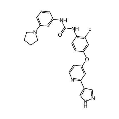 O=C(Nc1cccc(N2CCCC2)c1)Nc1ccc(Oc2ccnc(-c3cn[nH]c3)c2)cc1F